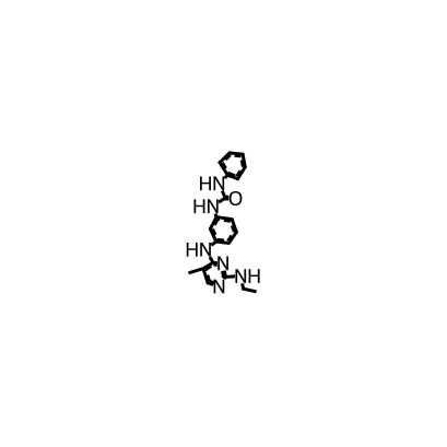 CCNc1ncc(C)c(Nc2cccc(NC(=O)Nc3ccccc3)c2)n1